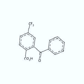 O=C(O)c1ccc(C(F)(F)F)cc1C(=O)c1ccccc1